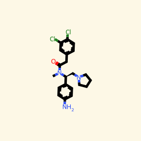 CN(C(=O)Cc1ccc(Cl)c(Cl)c1)[C@@H](CN1CCCC1)c1ccc(N)cc1